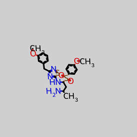 COc1ccc(S(=O)(=O)C(CC(C)N)Nc2nc(Cc3cccc(OC)c3)ns2)cc1